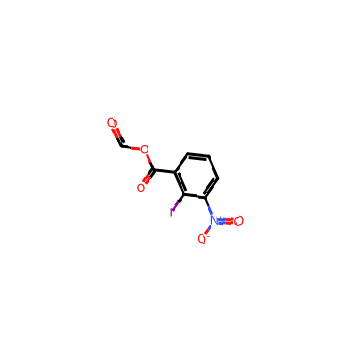 O=COC(=O)c1cccc([N+](=O)[O-])c1I